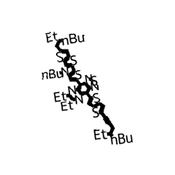 CCCCC(CC)CC#Cc1cc2sc(-c3c4nsnc4c(-c4cc5c(s4)c4sc6cc(CC(CC)CCCC)sc6c4n5CCCC)c4nc(CC)c(CC)nc34)cc2s1